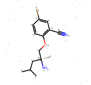 CC(C)C[C@](C)(N)COc1ccc(Br)cc1C#N